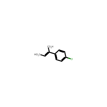 O=C(O)C=C(C(=O)O)c1ccc(Cl)cc1